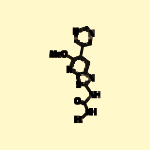 CCNC(=O)Nc1nc2cc(-c3cncnc3)c(OC)nc2s1